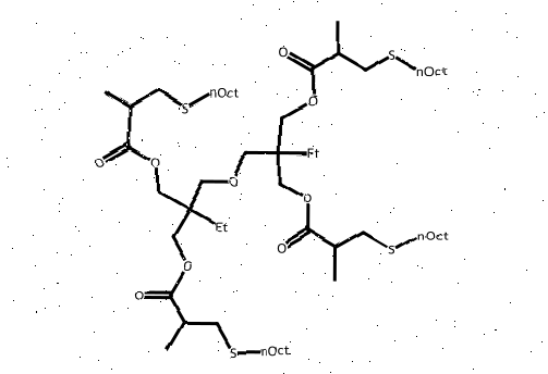 CCCCCCCCSCC(C)C(=O)OCC(CC)(COCC(CC)(COC(=O)C(C)CSCCCCCCCC)COC(=O)C(C)CSCCCCCCCC)COC(=O)C(C)CSCCCCCCCC